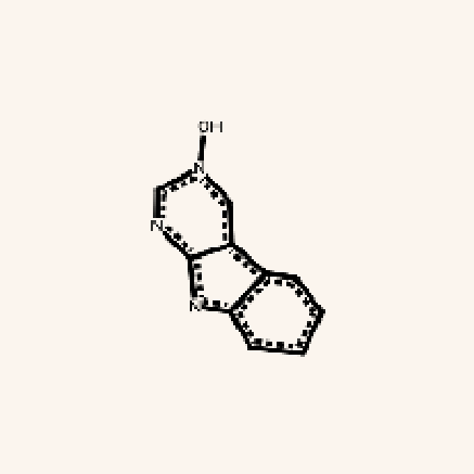 On1cnc2nc3ccccc3c-2c1